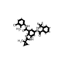 Cc1c(Cl)cccc1NC(=O)c1cc(NC(=O)c2ccccc2C(F)(F)F)cc2[nH]c(C3(C)CC3)nc12